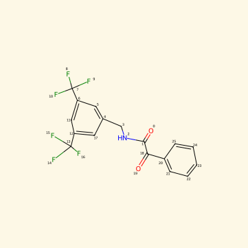 O=C(NCc1cc(C(F)(F)F)cc(C(F)(F)F)c1)C(=O)c1ccccc1